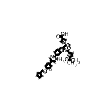 CC(C)(C)c1ccc(C(=O)N[C@@H](Cc2ccc(-c3ncc(-c4ccc(OCC5CCCC5)cc4)cn3)cc2)C(=O)N2CC(C(=O)O)C2)s1